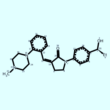 CC[C@H](O)c1ccc(N2CCC(=Cc3ccccc3N3CCN(C)CC3)C2=O)cc1